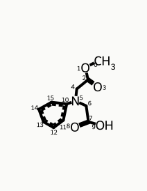 COC(=O)CN(CC(=O)O)c1ccccc1